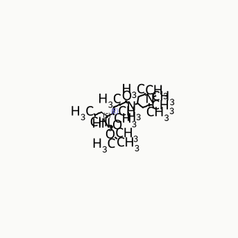 C/C(=C\C(C)(C)C(=O)NC1CC(C)(C)N(C)C(C)(C)C1)[C@H](CC(C)C)NC(=O)OC(C)(C)C